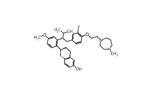 COc1ccc(C2CCc3cc(O)ccc3C2)c(N(Cc2ccc(OCCN3CCCN(C)CC3)c(F)c2)C(C)C)c1